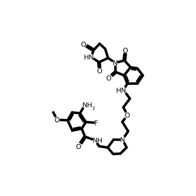 COc1cc(N)c(F)c(C(=O)NCC2CCCN(CCOCCNc3cccc4c3C(=O)N(C3CCC(=O)NC3=O)C4=O)C2)c1